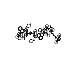 CC(C)C(NC(=O)CCCCCN1C(=O)C=CC1=O)C(=O)N[C@@H](C)C(=O)Nc1cc2c(c3ccccc13)[C@H](CCl)CN2C(=O)C12CC(C(=O)N3CC(CCl)c4c3cc(OP(=O)(O)O)c3ccccc43)(C1)C2